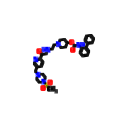 CS(=O)(=O)N1CCN(Cc2ccc(C(=O)CNCCN3CCC(OC(=O)Nc4ccccc4-c4ccccc4)CC3)nc2)CC1